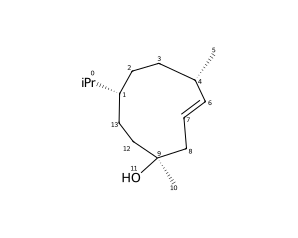 CC(C)[C@@H]1CC[C@H](C)/C=C/C[C@@](C)(O)CC1